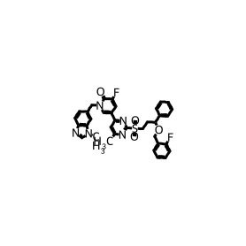 Cc1cc(-c2cc(F)c(=O)n(Cc3ccc4ncn(C)c4c3)c2)nc(S(=O)(=O)CCC(OCc2ccccc2F)c2ccccc2)n1